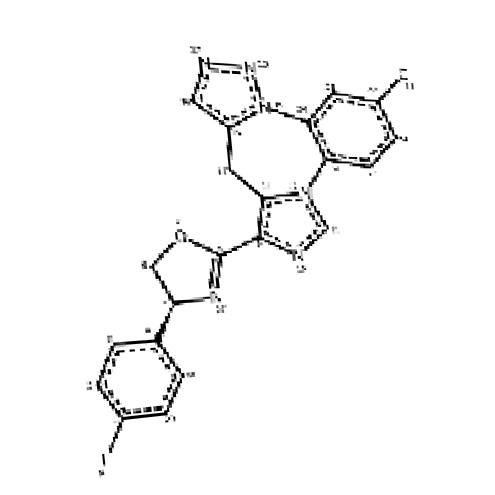 Fc1ccc([C@H]2COC(c3ncn4c3Cc3cnnn3-c3cc(Cl)ccc3-4)=N2)cc1